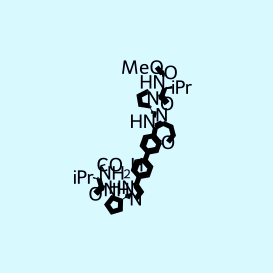 COC(=O)N[C@H](C(=O)N1CCC[C@H]1c1nc2c([nH]1)-c1ccc(-c3ccc(-c4cnc([C@@H]5CCC[C@H]5NC(=O)[C@@H](NC(=O)O)C(C)C)[nH]4)cc3)cc1OCC2)C(C)C